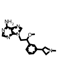 COC(Cn1cnc2c(N)ncnc21)c1cccc(C2CN(C)C2)c1